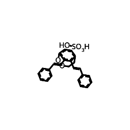 C(=Cc1c2ccc(c1C=Cc1ccccc1)OOCC2)c1ccccc1.O=S(=O)(O)O